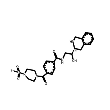 CCS(=O)(=O)N1CCN(C(=O)c2ccc(C(=O)NCC(O)[C@@H]3Cc4ccccc4CN3)cc2)CC1